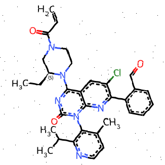 C=CC(=O)N1CCN(c2nc(=O)n(-c3c(C)ccnc3C(C)C)c3nc(-c4ccccc4C=O)c(Cl)cc23)[C@@H](CC)C1